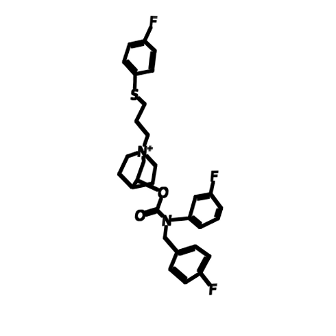 O=C(OC1C[N+]2(CCCSc3ccc(F)cc3)CCC1CC2)N(Cc1ccc(F)cc1)c1cccc(F)c1